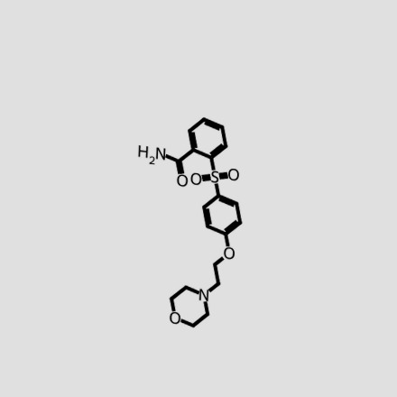 NC(=O)c1ccccc1S(=O)(=O)c1ccc(OCCN2CCOCC2)cc1